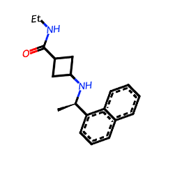 CCNC(=O)C1CC(N[C@H](C)c2cccc3ccccc23)C1